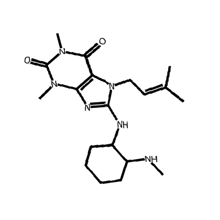 CNC1CCCCC1Nc1nc2c(c(=O)n(C)c(=O)n2C)n1CC=C(C)C